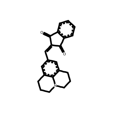 O=C1C(=Cc2cc3c4c(c2)CCCN4CCC3)C(=O)c2ccccc21